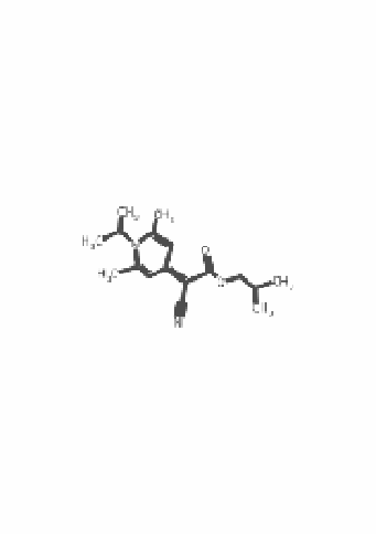 CC1=CC(=C(C#N)C(=O)OCC(C)C)C=C(C)N1C(C)C